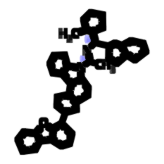 C=c1cccc/c1=C(/N=C(\C)n1c2ccccc2c2c3ccc(-c4cccc5c4oc4ccccc45)cc3ccc21)c1ccc2ccccc2c1